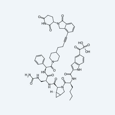 CCCC[C@H](NC(=O)c1cc2cc(C(=O)P(=O)(O)O)ccc2[nH]1)C(=O)N1CC2C[C@H]2[C@H]1C(=O)N[C@@H](CNC(N)=O)C(=O)N[C@H](C(=O)N1CCC(CCC#Cc2cccc3c2CN(C2CCC(=O)NC2=O)C3=O)CC1)c1ccccc1